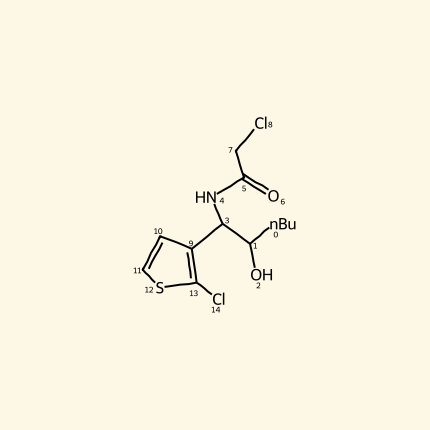 CCCCC(O)C(NC(=O)CCl)c1ccsc1Cl